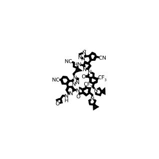 Cn1cnnc1-c1ccc(C#N)cc1-c1cc(NC2(CCC#N)CC2Cn2cnnc2-c2ccc(C#N)cc2-c2cc(NCC3COC3)nc(N3Cc4c(cc(CN5CCC6(CC6)C5)cc4C(F)(F)F)C3=O)c2)nc(N2Cc3c(cc(CN4CCC5(CC5)C4)cc3C(F)(F)F)C2=O)c1